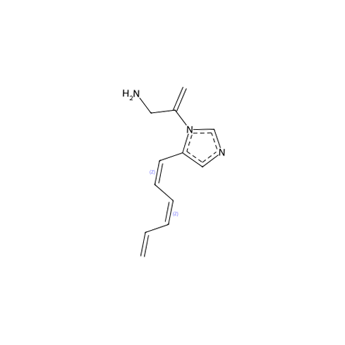 C=C/C=C\C=C/c1cncn1C(=C)CN